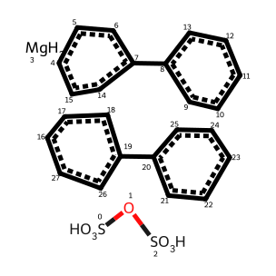 O=S(=O)(O)OS(=O)(=O)O.[MgH2].c1ccc(-c2ccccc2)cc1.c1ccc(-c2ccccc2)cc1